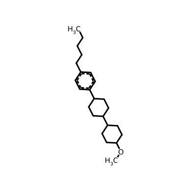 CCCCCc1ccc(C2CCC(C3CCC(OC)CC3)CC2)cc1